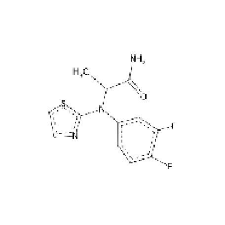 CC(C(N)=O)N(c1ccc(F)c(F)c1)c1nccs1